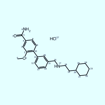 COc1cc(C(N)=O)ccc1-c1cccc(CNCCC2CCCCC2)c1.Cl